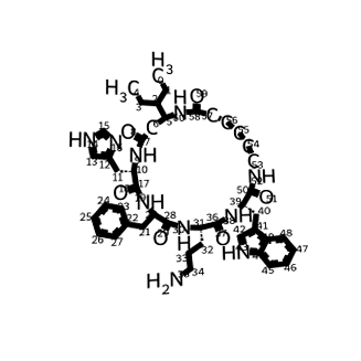 CCC(CC)C1CC(=O)N[C@@H](Cc2c[nH]cn2)C(=O)NC(Cc2ccccc2)C(=O)N[C@@H](CCCN)C(=O)N[C@@H](Cc2c[nH]c3ccccc23)C(=O)NCCCCCC(=O)N1